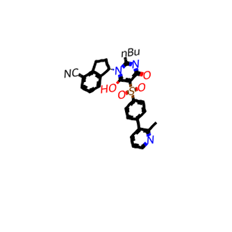 CCCCc1nc(=O)c(S(=O)(=O)c2ccc(-c3cccnc3C)cc2)c(O)n1[C@H]1CCc2c(C#N)cccc21